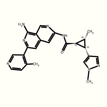 Cc1ccncc1-c1cc2cc(NC(=O)[C@H]3[C@H](C)[C@@H]3c3cnn(C)c3)ncc2c(N)n1